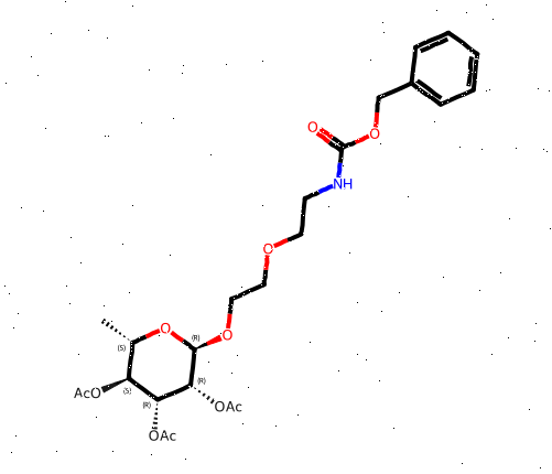 CC(=O)O[C@@H]1[C@@H](OC(C)=O)[C@H](C)O[C@@H](OCCOCCNC(=O)OCc2ccccc2)[C@@H]1OC(C)=O